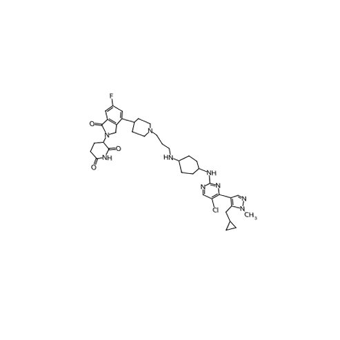 Cn1ncc(-c2nc(NC3CCC(NCCCN4CCC(c5cc(F)cc6c5CN(C5CCC(=O)NC5=O)C6=O)CC4)CC3)ncc2Cl)c1CC1CC1